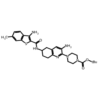 Cc1ccc2c(N)c(C(=O)NC3CCc4nc(N5CCN(C(=O)OC(C)(C)C)CC5)c(N)cc4C3)sc2c1